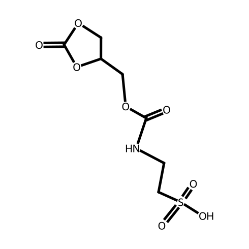 O=C(NCCS(=O)(=O)O)OCC1COC(=O)O1